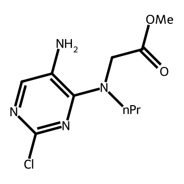 CCCN(CC(=O)OC)c1nc(Cl)ncc1N